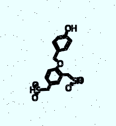 O=[SH](=O)Cc1ccc(OCc2ccc(O)cc2)c(C[SH](=O)=O)c1